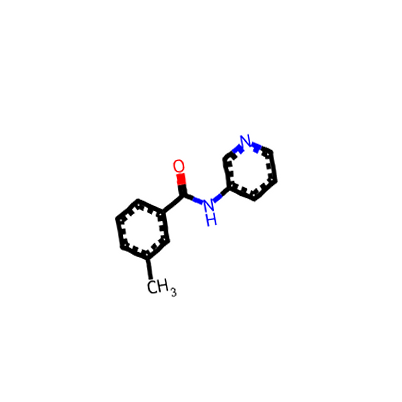 Cc1cccc(C(=O)Nc2cccnc2)c1